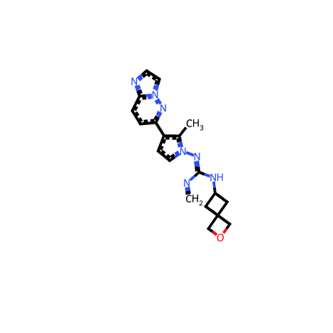 C=N/C(=N\n1ccc(-c2ccc3nccn3n2)c1C)NC1CC2(COC2)C1